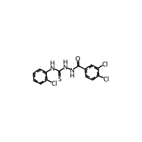 O=C(NNC(=S)Nc1ccccc1Cl)c1ccc(Cl)c(Cl)c1